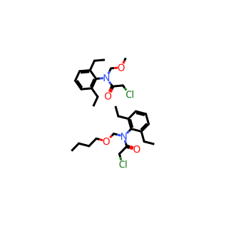 CCCCOCN(C(=O)CCl)c1c(CC)cccc1CC.CCc1cccc(CC)c1N(COC)C(=O)CCl